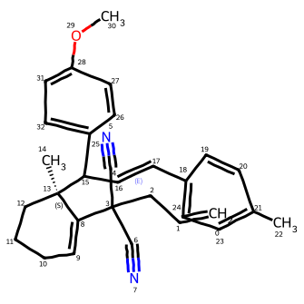 C=CCC(C#N)(C#N)C1=CCCC[C@@]1(C)C(/C=C/c1ccc(C)cc1)c1ccc(OC)cc1